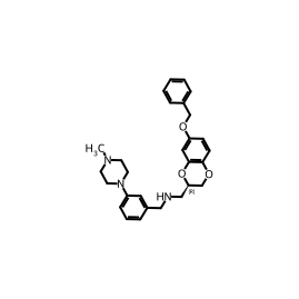 CN1CCN(c2cccc(CNC[C@@H]3COc4ccc(OCc5ccccc5)cc4O3)c2)CC1